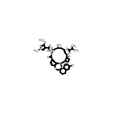 COc1nn(C)cc1C(=O)N[S@@]1(=O)=NC(=O)c2ccc3c(c2)N(C[C@@H]2CC[C@H]2[C@@H](OC(=O)C(C)C)/C=C/C[C@H](C)C1)C[C@@]1(CCCc2cc(Cl)ccc21)CO3